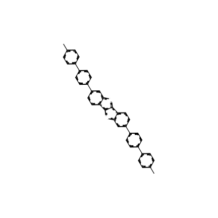 Cc1ccc(-c2ccc(-c3ccc4c(c3)sc3c5ccc(-c6ccc(-c7ccc(C)cc7)cc6)cc5sc43)cc2)cc1